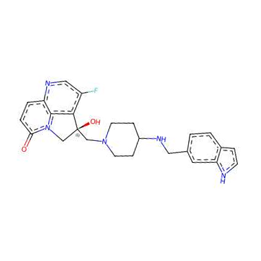 O=c1ccc2ncc(F)c3c2n1C[C@@]3(O)CN1CCC(NCc2ccc3cc[nH]c3c2)CC1